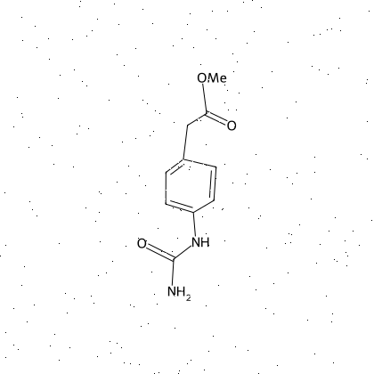 COC(=O)Cc1ccc(NC(N)=O)cc1